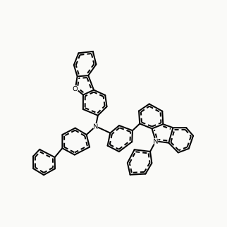 c1ccc(-c2ccc(N(c3cccc(-c4cccc5c6ccccc6n(-c6ccccc6)c45)c3)c3ccc4c(c3)oc3ccccc34)cc2)cc1